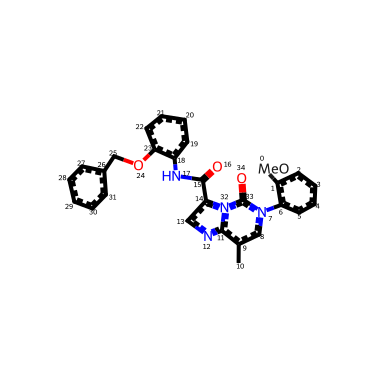 COc1ccccc1-n1cc(C)c2ncc(C(=O)Nc3ccccc3OCc3ccccc3)n2c1=O